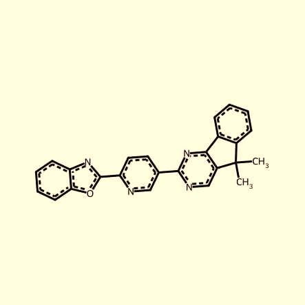 CC1(C)c2ccccc2-c2nc(-c3ccc(-c4nc5ccccc5o4)nc3)ncc21